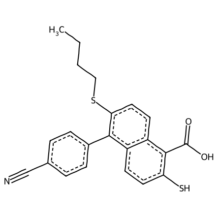 CCCCSc1ccc2c(C(=O)O)c(S)ccc2c1-c1ccc(C#N)cc1